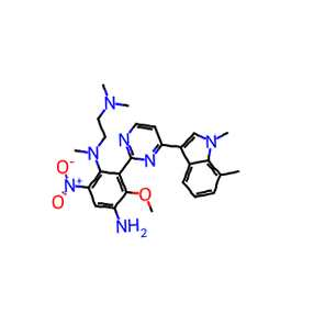 COc1c(N)cc([N+](=O)[O-])c(N(C)CCN(C)C)c1-c1nccc(-c2cn(C)c3c(C)cccc23)n1